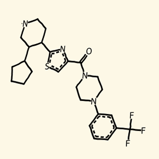 O=C(c1csc(C2CC[N]CC2C2CCCC2)n1)N1CCN(c2cccc(C(F)(F)F)c2)CC1